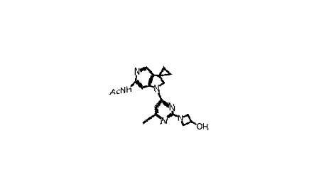 CC(=O)Nc1cc2c(cn1)C1(CC1)CN2c1cc(C)nc(N2CC(O)C2)n1